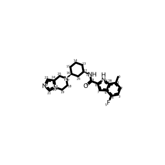 Cc1ccc(F)c2cc(C(=O)N[C@@H]3CCC[C@H](N4CCn5cncc5C4)C3)[nH]c12